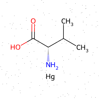 CC(C)[C@H](N)C(=O)O.[Hg]